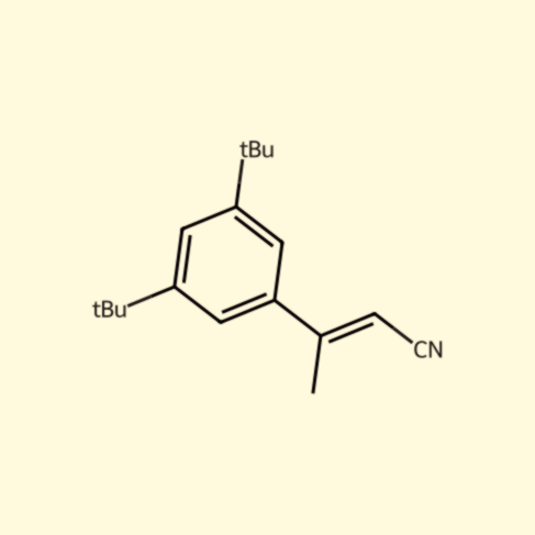 CC(=CC#N)c1cc(C(C)(C)C)cc(C(C)(C)C)c1